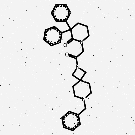 O=C(CN1CCCC(c2ccccc2)(c2ccccc2)C1=O)N1CC2(CCN(Cc3ccccc3)CC2)C1